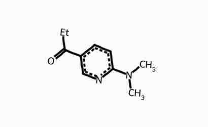 CCC(=O)c1ccc(N(C)C)nc1